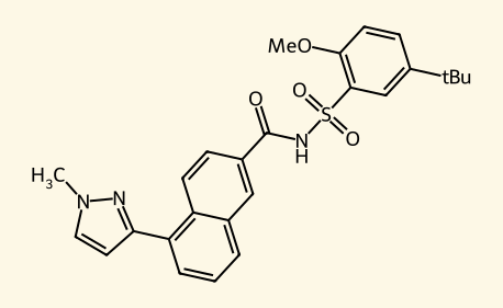 COc1ccc(C(C)(C)C)cc1S(=O)(=O)NC(=O)c1ccc2c(-c3ccn(C)n3)cccc2c1